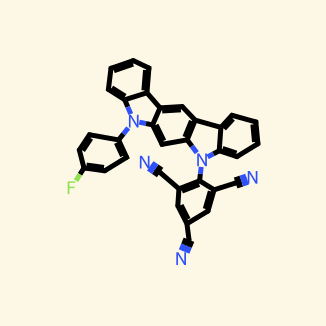 N#Cc1cc(C#N)c(-n2c3ccccc3c3cc4c5ccccc5n(-c5ccc(F)cc5)c4cc32)c(C#N)c1